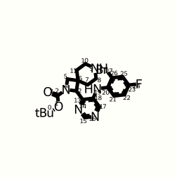 CC(C)(C)OC(=O)N1CC2(CCNCC2)C1c1ncncc1Nc1ccc(F)cc1Br